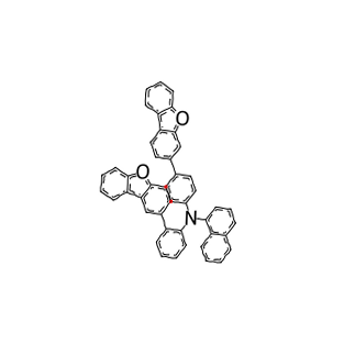 c1ccc(N(c2ccc(-c3ccc4c(c3)oc3ccccc34)cc2)c2cccc3ccccc23)c(-c2ccc3oc4ccccc4c3c2)c1